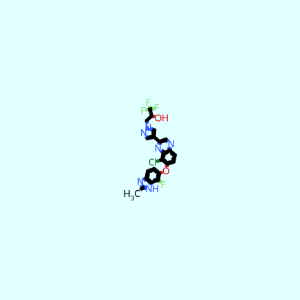 Cc1nc2ccc(Oc3ccc4ncc(-c5cnn(CC(O)C(F)(F)F)c5)nc4c3Cl)c(F)c2[nH]1